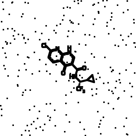 O=C(N[C@H](C1CC1)C(F)(F)F)c1c[nH]c2nc(Cl)ccc2c1=O